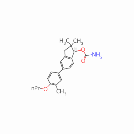 CCCOc1ccc(-c2ccc3c(c2)CC(C)(C)[C@H]3OC(N)=O)cc1C